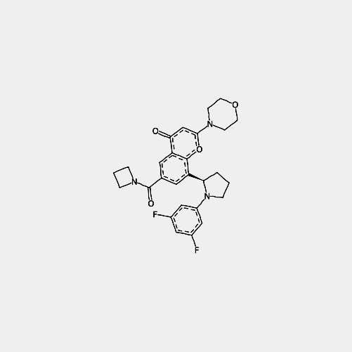 O=C(c1cc([C@H]2CCCN2c2cc(F)cc(F)c2)c2oc(N3CCOCC3)cc(=O)c2c1)N1CCC1